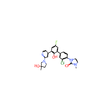 Cn1ccn(-c2ccc(-c3cc(F)cc(-c4ccnc(N5CCC(C)(O)C5)c4)c3O)cc2Cl)c1=O